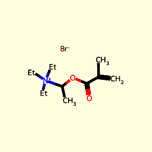 C=C(C)C(=O)OC(C)[N+](CC)(CC)CC.[Br-]